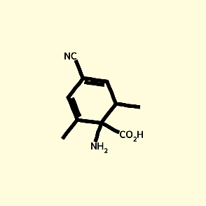 CC1=CC(C#N)=CC(C)C1(N)C(=O)O